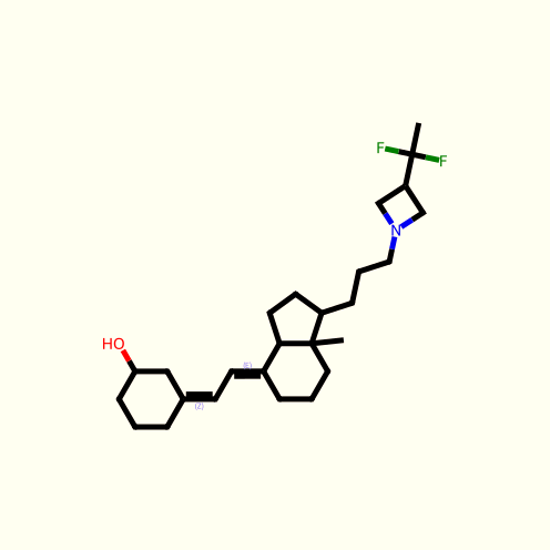 CC(F)(F)C1CN(CCCC2CCC3/C(=C/C=C4/CCCC(O)C4)CCCC23C)C1